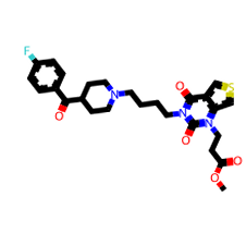 COC(=O)CCn1c(=O)n(CCCCN2CCC(C(=O)c3ccc(F)cc3)CC2)c(=O)c2cscc21